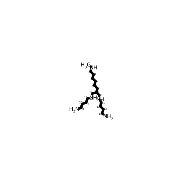 CNCCCCCCC(CNCCCCN)CNCCCCN